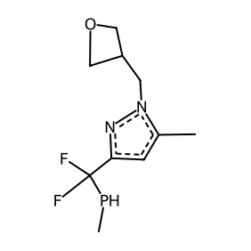 CPC(F)(F)c1cc(C)n(CC2COC2)n1